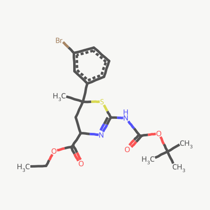 CCOC(=O)C1CC(C)(c2cccc(Br)c2)SC(NC(=O)OC(C)(C)C)=N1